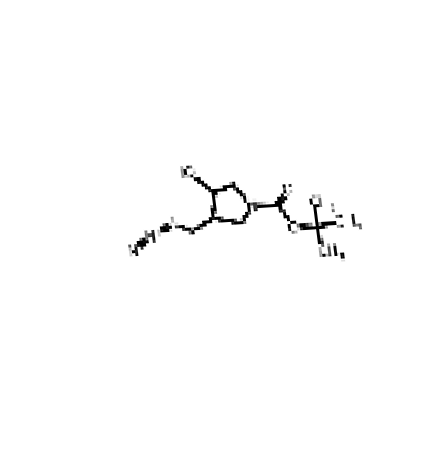 CC(C)(C)OC(=O)N1CC(O)C(CN=[N+]=[N-])C1